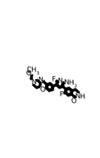 COCCN1CCC(Oc2ccc(-c3cc(-c4cc5c(cc4F)C(=O)NCC5)c(N)nc3F)cc2C#N)CC1